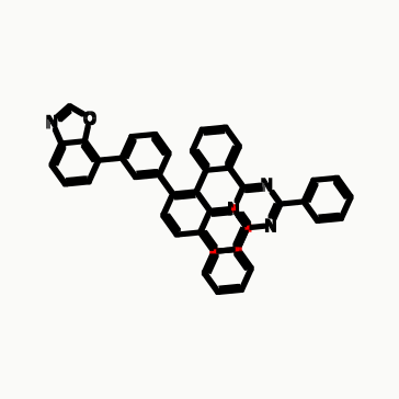 c1ccc(-c2nc(-c3ccccc3)nc(-c3ccccc3-c3c(-c4cccc(-c5cccc6ncoc56)c4)ccc4ccccc34)n2)cc1